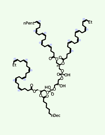 CC/C=C\C/C=C\C/C=C\C/C=C\C/C=C\C/C=C\CCC(=O)OC[C@H](COP(=O)(O)OC[C@@H](O)COP(=O)(O)OC[C@@H](COC(=O)CC/C=C\C/C=C\C/C=C\C/C=C\C/C=C\CCCCC)OC(=O)CC/C=C\C/C=C\C/C=C\C/C=C\C/C=C\C/C=C\CC)OC(=O)CCCCCCCCCCCCCCC